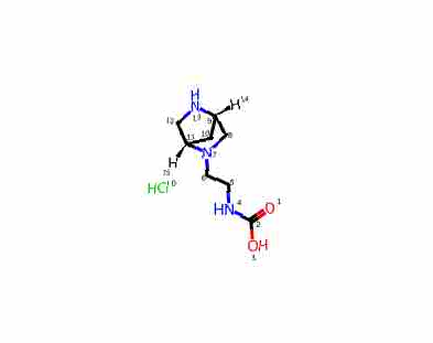 Cl.O=C(O)NCCN1C[C@@H]2C[C@H]1CN2